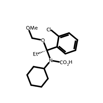 CC[C@](OCOC)(c1ccccc1Cl)N(C(=O)O)C1CCCCC1